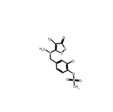 CN(Cc1ccc(OS(C)(=O)=O)c(Cl)c1)c1ssc(=O)c1Cl